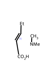 CC/C=C/C(=O)O.CNC